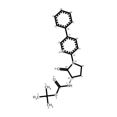 CC(C)(C)OC(=O)N[C@H]1CCN(c2ccc(-c3cc[c]cc3)cn2)C1=O